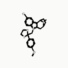 COc1ccc(C2(Cn3c4c(c5cc(Cl)ccc53)C3CCC(C4)N3C)OCCO2)cc1